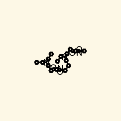 c1ccc(-c2ccc(N(c3ccc(-c4ccccc4)cc3)c3ccc(-c4cccc5c4oc4cc6nc(-c7cccc(-c8cccc(-c9ccc(N(c%10ccc(-c%11cccc%12c%11oc%11cc%13nc(-c%14ccccc%14)oc%13cc%11%12)cc%10)c%10cccc(-c%11ccccc%11)c%10)cc9)c8)c7)oc6cc45)cc3)cc2)cc1